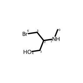 CNC(CO)CBr